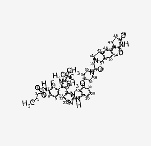 CCCS(=O)(=O)Nc1cccc(-c2nc(C(C)(C)C)sc2-c2ccnc(Nc3cccc(OC4CCN(C(=O)CN5CCc6cc([C@@H]7CCC(=O)NC7=O)ccc6C5)CC4)c3)n2)c1F